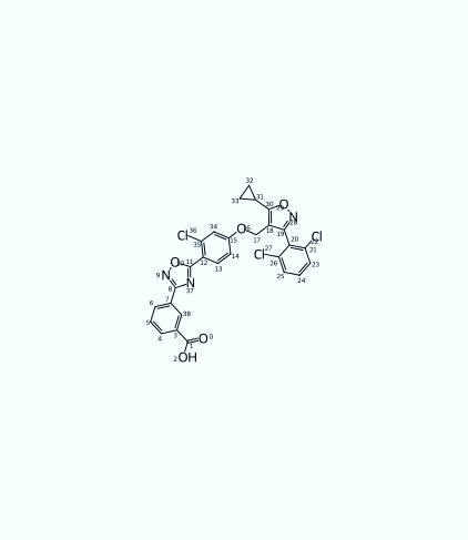 O=C(O)c1cccc(-c2noc(-c3ccc(OCc4c(-c5c(Cl)cccc5Cl)noc4C4CC4)cc3Cl)n2)c1